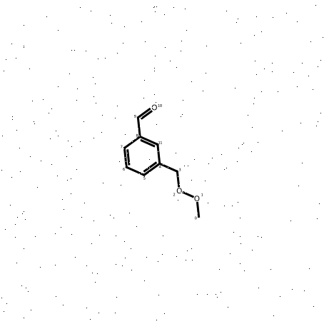 COOCc1cccc(C=O)c1